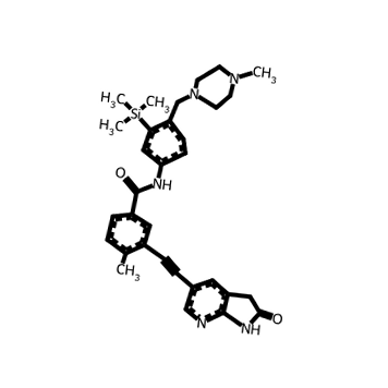 Cc1ccc(C(=O)Nc2ccc(CN3CCN(C)CC3)c([Si](C)(C)C)c2)cc1C#Cc1cnc2c(c1)CC(=O)N2